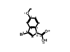 COc1ccc2c(c1)c(Br)cn2C(=O)O